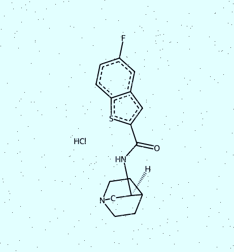 Cl.O=C(N[C@@H]1CN2CCC1CC2)c1cc2cc(F)ccc2s1